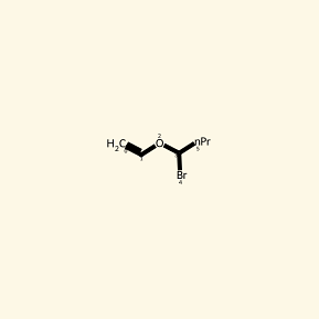 C=COC(Br)CCC